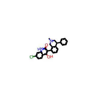 CN1Cc2c(-c3c(O)c4ccc(Cl)cc4[nH]c3=O)cccc2C(c2ccccc2)C1